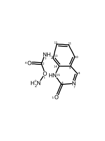 NOC(N)=O.O=c1ncc2ccccc2[nH]1